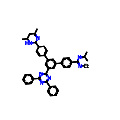 CC/N=C(\N=C(C)C)c1ccc(-c2cc(C3=CCC(C4N=C(C)CC(C)N4)C=C3)cc(-c3nc(-c4ccccc4)nc(-c4ccccc4)n3)c2)cc1